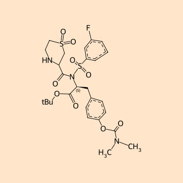 CN(C)C(=O)Oc1ccc(C[C@@H](C(=O)OC(C)(C)C)N(C(=O)C2CS(=O)(=O)CCN2)S(=O)(=O)c2cccc(F)c2)cc1